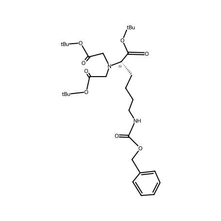 CC(C)(C)OC(=O)CN(CC(=O)OC(C)(C)C)[C@@H](CCCCNC(=O)OCc1ccccc1)C(=O)OC(C)(C)C